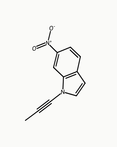 CC#Cn1ccc2ccc([N+](=O)[O-])cc21